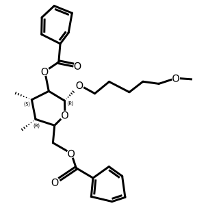 COCCCCCO[C@@H]1OC(COC(=O)c2ccccc2)[C@H](C)[C@H](C)C1OC(=O)c1ccccc1